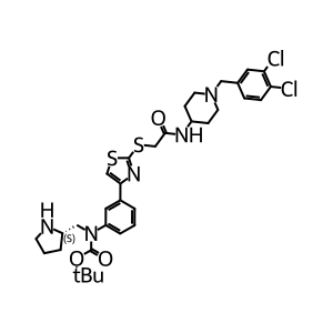 CC(C)(C)OC(=O)N(C[C@@H]1CCCN1)c1cccc(-c2csc(SCC(=O)NC3CCN(Cc4ccc(Cl)c(Cl)c4)CC3)n2)c1